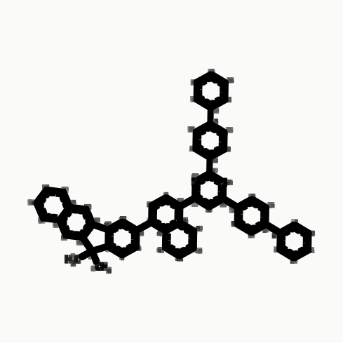 CC1(C)c2ccc(-c3ccc(-c4cc(-c5ccc(-c6ccccc6)cc5)nc(-c5ccc(-c6ccccc6)cc5)n4)c4ccccc34)cc2-c2cc3ccccc3cc21